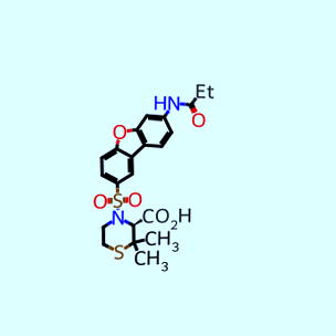 CCC(=O)Nc1ccc2c(c1)oc1ccc(S(=O)(=O)N3CCSC(C)(C)[C@@H]3C(=O)O)cc12